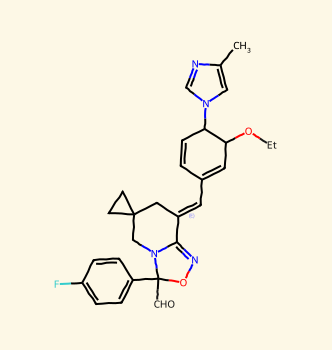 CCOC1C=C(/C=C2\CC3(CC3)CN3C2=NOC3(C=O)c2ccc(F)cc2)C=CC1n1cnc(C)c1